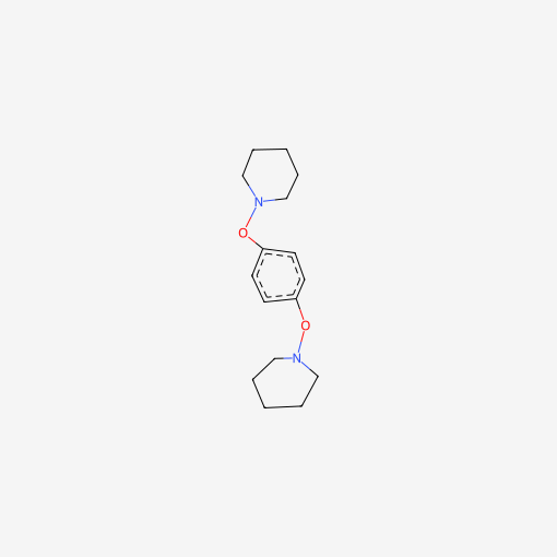 c1cc(ON2CCCCC2)ccc1ON1CCCCC1